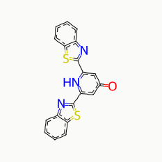 O=c1cc(-c2nc3ccccc3s2)[nH]c(-c2nc3ccccc3s2)c1